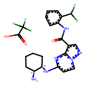 N[C@H]1CCCC[C@H]1Nc1ccn2ncc(C(=O)Nc3ccccc3C(F)F)c2n1.O=C(O)C(F)(F)F